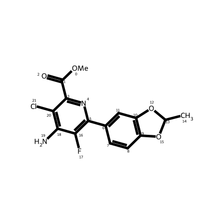 COC(=O)c1nc(-c2ccc3c(c2)OC(C)O3)c(F)c(N)c1Cl